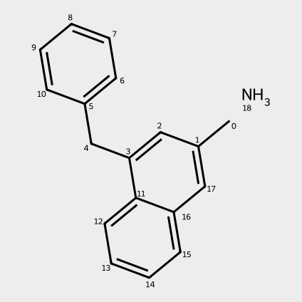 Cc1cc(Cc2ccccc2)c2ccccc2c1.N